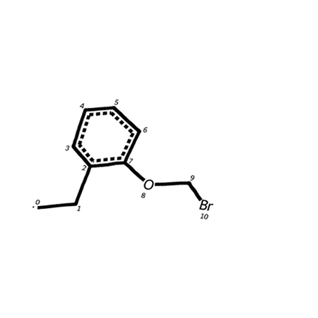 [CH2]Cc1ccccc1OCBr